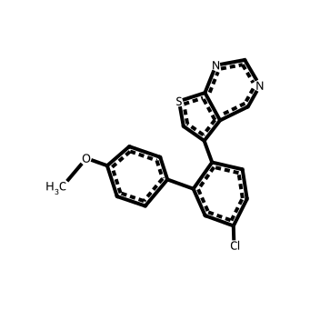 COc1ccc(-c2cc(Cl)ccc2-c2csc3ncncc23)cc1